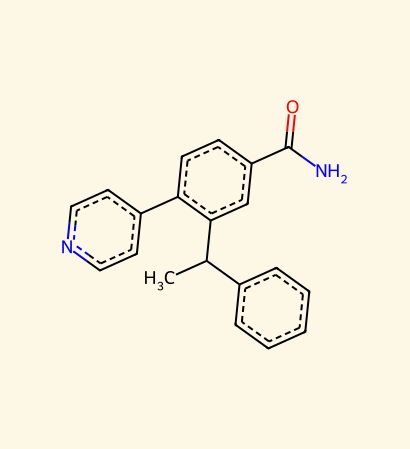 CC(c1ccccc1)c1cc(C(N)=O)ccc1-c1ccncc1